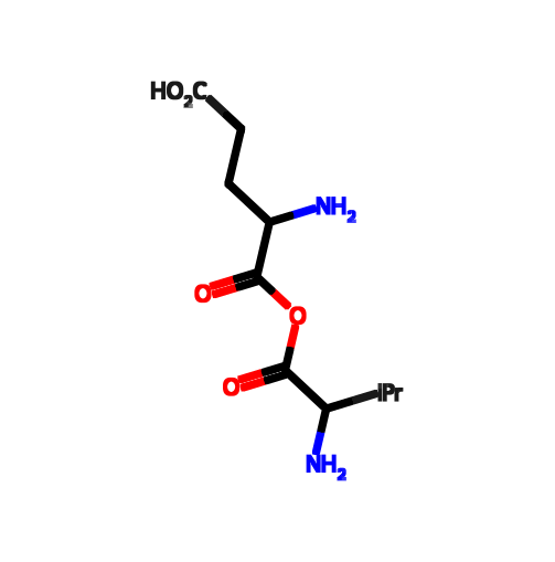 CC(C)C(N)C(=O)OC(=O)C(N)CCC(=O)O